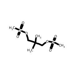 CC(C)(COS(C)(=O)=O)COS(C)(=O)=O